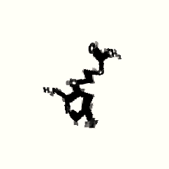 CC(=O)OCCOc1cc(Br)cnc1N